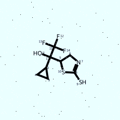 OC(C1CC1)(C1CN=C(S)S1)C(F)(F)F